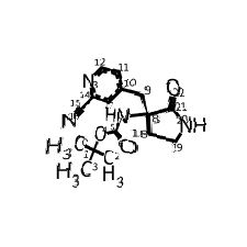 CC(C)(C)OC(=O)N[C@@]1(Cc2ccnc(C#N)c2)CCNC1=O